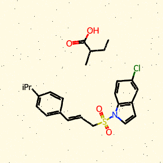 CC(C)c1ccc(C=CCS(=O)(=O)n2ccc3cc(Cl)ccc32)cc1.CCC(C)C(=O)O